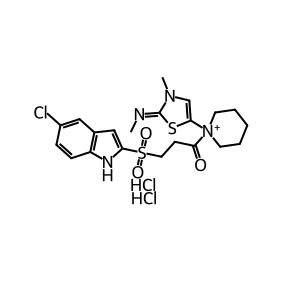 C/N=c1\sc([N+]2(C(=O)CCS(=O)(=O)c3cc4cc(Cl)ccc4[nH]3)CCCCC2)cn1C.Cl.Cl